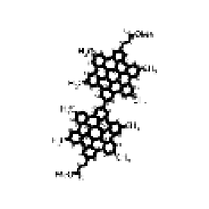 COC(=O)CCc1cc2c3cc(C)cc4c5cc(C)cc6c7cc(-c8cc9c%10cc(C)cc%11c%12cc(C)cc%13c%14cc(CCC(=O)OC)cc%15c%16cc(C)cc%17c%18cc(C)cc%19c(c8)c9c8c(c%11%10)c(c%12%13)c(c%14%15)c(c%17%16)c8c%18%19)cc8c9cc(C)cc%10c%11cc(C)cc%12c(c1)c2c1c(c43)c(c56)c(c78)c(c%109)c1c%11%12